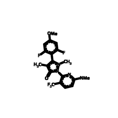 CNc1ccc(C(F)(F)F)c(-n2c(=O)c(C)c(-c3c(F)cc(OC)cc3F)n2C)n1